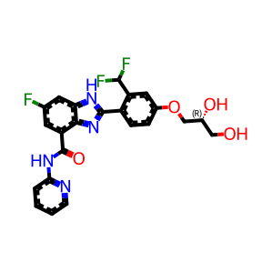 O=C(Nc1ccccn1)c1cc(F)cc2[nH]c(-c3ccc(OC[C@H](O)CO)cc3C(F)F)nc12